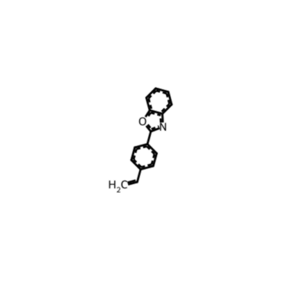 C=Cc1ccc(-c2nc3ccccc3o2)cc1